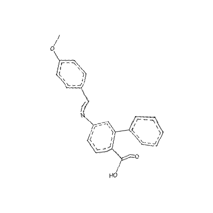 COc1ccc(C=Nc2ccc(C(=O)O)c(-c3ccccc3)c2)cc1